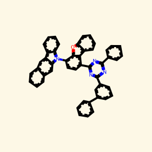 c1ccc(-c2cccc(-c3nc(-c4ccccc4)nc(-c4ccc(-n5c6ccccc6c6cc7ccccc7cc65)c5oc6ccccc6c45)n3)c2)cc1